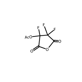 CC(=O)OC1(F)C(=O)OC(=O)C1(F)F